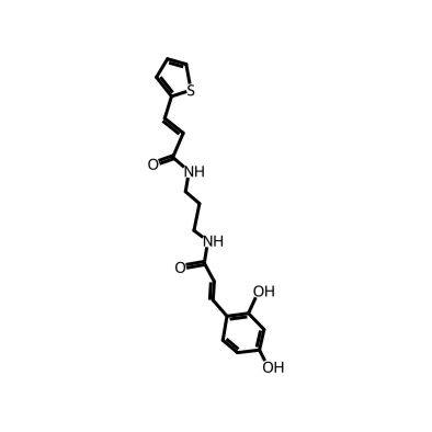 O=C(/C=C/c1cccs1)NCCCNC(=O)/C=C/c1ccc(O)cc1O